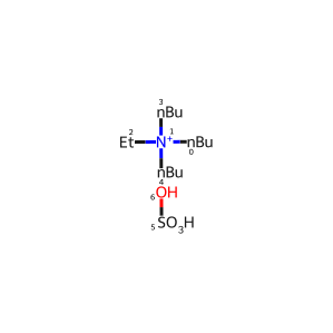 CCCC[N+](CC)(CCCC)CCCC.O=S(=O)(O)O